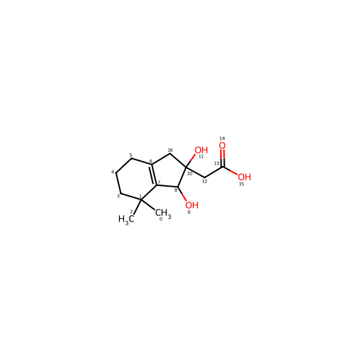 CC1(C)CCCC2=C1C(O)C(O)(CC(=O)O)C2